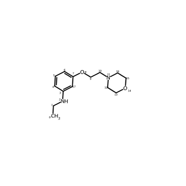 CCNc1cccc(OCCN2CCOCC2)c1